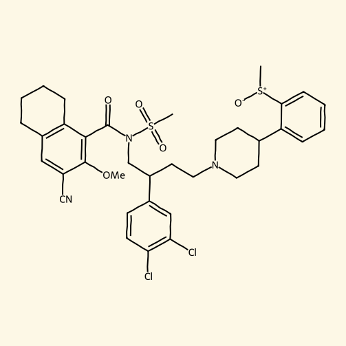 COc1c(C#N)cc2c(c1C(=O)N(CC(CCN1CCC(c3ccccc3[S+](C)[O-])CC1)c1ccc(Cl)c(Cl)c1)S(C)(=O)=O)CCCC2